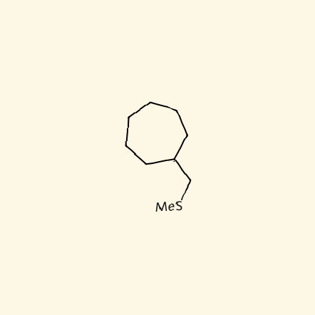 CSC[C]1CCCCCC1